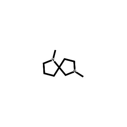 CN1CCC2(CCCN2C)C1